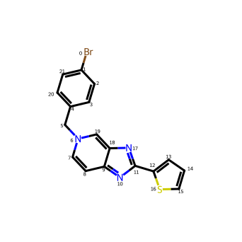 Brc1ccc(Cn2ccc3nc(-c4cccs4)nc-3c2)cc1